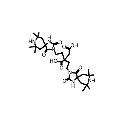 CC1(C)CC2(CC(C)(C)N1)NC(=O)N(CCC(CCN1C(=O)NC3(CC(C)(C)NC(C)(C)C3)C1=O)(CC(=O)O)C(=O)O)C2=O